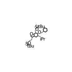 CC(C)Cc1cc2c(CCO[Si](C)(C)C(C)(C)C)coc2c(CO[Si](C)(C)C(C)(C)C)c1OCc1ccccc1